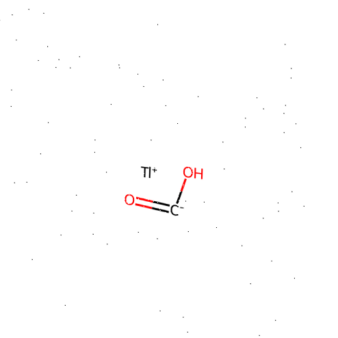 O=[C-]O.[Tl+]